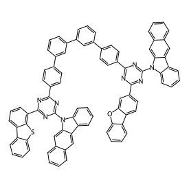 c1cc(-c2ccc(-c3nc(-c4ccc5c(c4)oc4ccccc45)nc(-n4c5ccccc5c5cc6ccccc6cc54)n3)cc2)cc(-c2cccc(-c3ccc(-c4nc(-c5cccc6c5sc5ccccc56)nc(-n5c6ccccc6c6cc7ccccc7cc65)n4)cc3)c2)c1